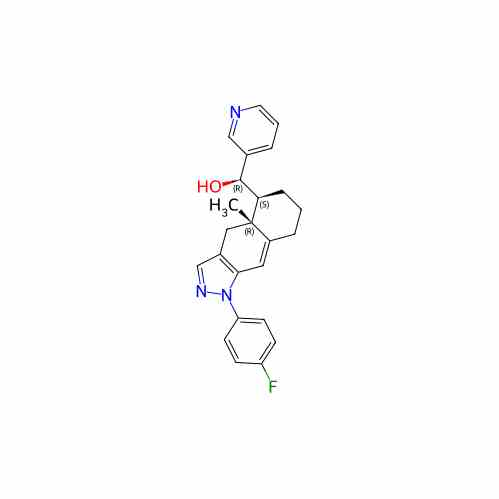 C[C@]12Cc3cnn(-c4ccc(F)cc4)c3C=C1CCC[C@@H]2[C@@H](O)c1cccnc1